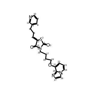 O=C1SC(=CCCc2cccnc2)C(=O)N1CCCCOc1cccn2ccnc12